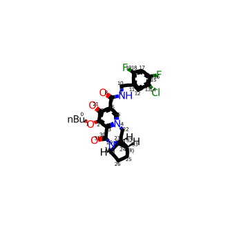 CCCCOc1c2n(cc(C(=O)NCc3cc(Cl)c(F)cc3F)c1=O)C[C@H]1[C@@H]3CC[C@@H](C3)N1C2=O